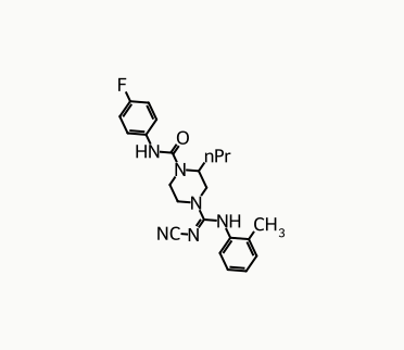 CCCC1CN(/C(=N\C#N)Nc2ccccc2C)CCN1C(=O)Nc1ccc(F)cc1